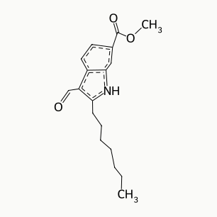 CCCCCCCc1[nH]c2cc(C(=O)OC)ccc2c1C=O